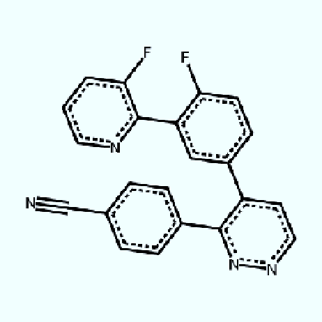 N#Cc1ccc(-c2nnccc2-c2ccc(F)c(-c3ncccc3F)c2)cc1